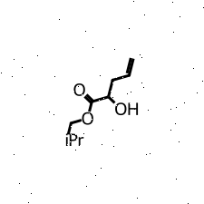 C=CCC(O)C(=O)OCC(C)C